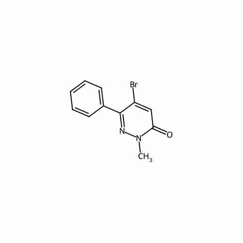 Cn1nc(-c2ccccc2)c(Br)cc1=O